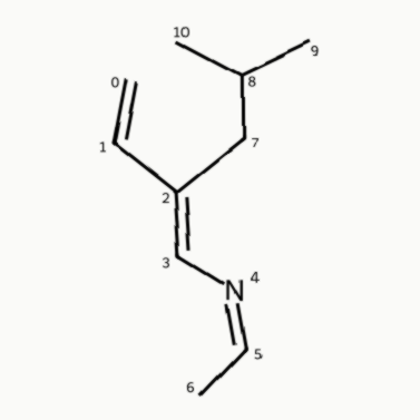 C=C/C(=C/N=C\C)CC(C)C